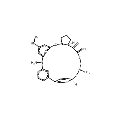 CC(C)Nc1cc2cc(c1)N(N)c1nccc(n1)C1=CC[C@@H](C=C1)CN(C)CCC(=N)C(=O)[C@@H]1CCCN1C2